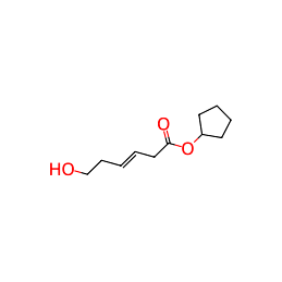 O=C(CC=CCCO)OC1CCCC1